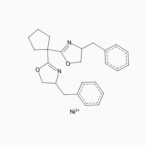 [Ni+2].c1ccc(CC2COC(C3(C4=NC(Cc5ccccc5)CO4)CCCC3)=N2)cc1